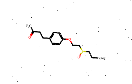 CCCCCCCCCCCC[S+]([O-])CCOc1ccc(CCC(=O)C(F)(F)F)cc1